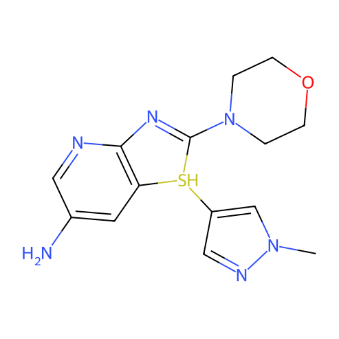 Cn1cc([SH]2C(N3CCOCC3)=Nc3ncc(N)cc32)cn1